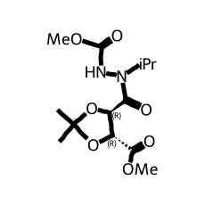 COC(=O)NN(C(=O)[C@@H]1OC(C)(C)O[C@H]1C(=O)OC)C(C)C